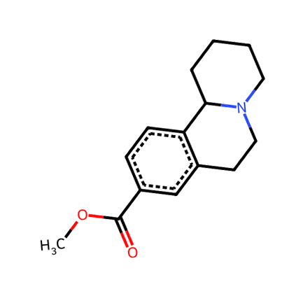 COC(=O)c1ccc2c(c1)CCN1CCCCC21